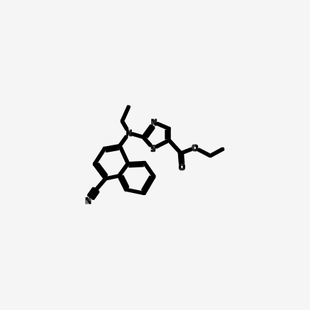 CCOC(=O)c1cnc(N(CC)c2ccc(C#N)c3ccccc23)s1